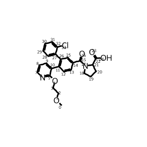 COCCOc1ncccc1-c1ccc(C(=O)N2CCCC2C(=O)O)cc1-c1ccccc1Cl